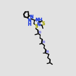 CC(C)=CCC/C(C)=C/CC/C(C)=C/CC/C(C)=C/CSCC(Nc1csc(C)n1)c1nc2ccccc2[nH]1